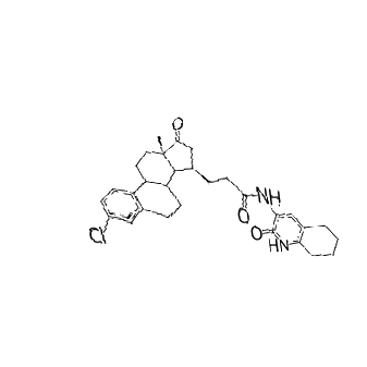 C[C@]12CCC3c4ccc(Cl)cc4CCC3C1[C@H](CCC(=O)Nc1cc3c([nH]c1=O)CCCC3)CC2=O